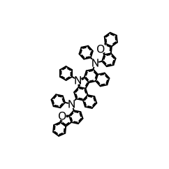 c1ccc(N(c2cc3c(c4ccccc24)c2c4ccccc4c(N(c4ccccc4)c4cccc5c4oc4ccccc45)cc2n3-c2ccccc2)c2cccc3c2oc2ccccc23)cc1